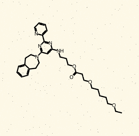 CCOCCCCCOCCC(=O)OCCCNc1cc(N2CCc3ccccc3CC2)nc(-c2ccccn2)n1